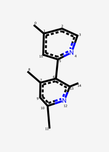 Cc1ccnc(-c2c(C)cc(C)nc2C)c1